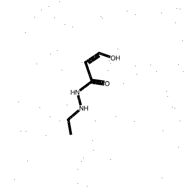 CCNNC(=O)/C=C\O